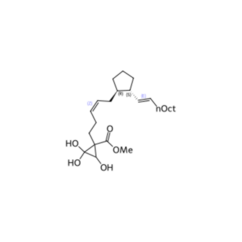 CCCCCCCC/C=C/[C@H]1CCC[C@@H]1C/C=C\CCC1(C(=O)OC)C(O)C1(O)O